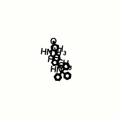 C[C@]12CCC(=O)C=C1NC[C@@H]1[C@H]2CC[C@]2(C)C(C(=O)NC(c3ccccc3)(c3ccccc3)c3ccccc3)CC[C@@H]12